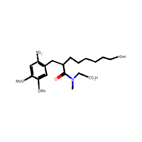 CCCCCCCCCCCCCCCCC(Cc1cc(OC)c(OC)cc1[N+](=O)[O-])C(=O)N(C)CC(=O)O